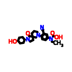 CCN(C(=O)O)c1ccc(N2CCCC3(CCN([C@H]4CC[C@H](O)CC4)C3=O)C2)c(C#N)c1